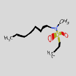 CC=CCCCN(C)S(=O)(=O)CC